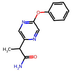 CC(C(N)=O)c1cnc(Oc2ccccc2)cn1